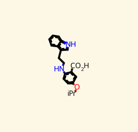 CC(C)Oc1ccc(NCCc2c[nH]c3ccccc23)c(C(=O)O)c1